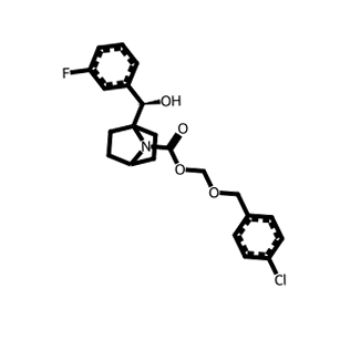 O=C(OCOCc1ccc(Cl)cc1)N1C2CCC1([C@H](O)c1cccc(F)c1)CC2